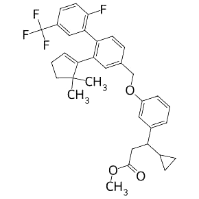 COC(=O)CC(c1cccc(OCc2ccc(-c3cc(C(F)(F)F)ccc3F)c(C3=CCCC3(C)C)c2)c1)C1CC1